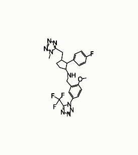 COc1ccc(-n2nnnc2C(F)(F)F)cc1CNC1CCC(Cc2nnnn2C)C1c1ccc(F)cc1